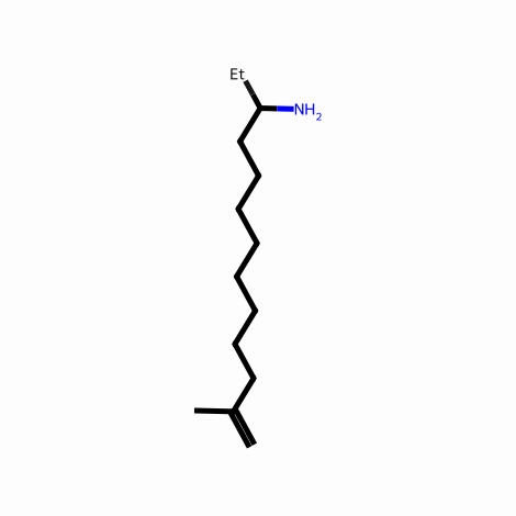 C=C(C)CCCCCCCCC(N)CC